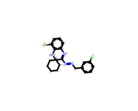 Clc1cccc(CN=NC2=Nc3cccc(Br)c3NC23CCCCC3)c1